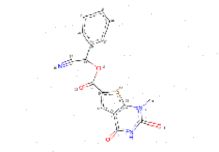 Cn1c(=O)[nH]c(=O)c2cc(C(=O)OC(C#N)c3ccccc3)sc21